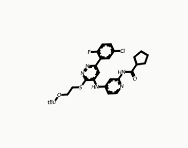 CC(C)(C)OCCSc1nnc(-c2cc(Cl)ccc2F)cc1Nc1ccnc(NC(=O)C2CCCC2)c1